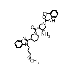 COCCCn1c(C2CCCN(C(=O)[C@@H]3CN(C(=O)Nc4ccccc4Cl)C[C@H]3N)C2)nc2ccccc21